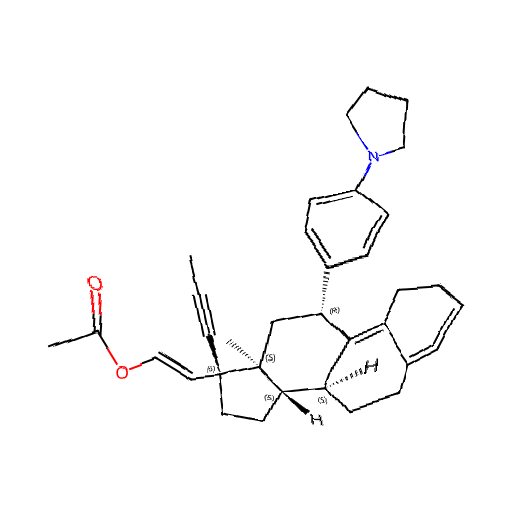 CC#C[C@]1(C=COC(C)=O)CC[C@H]2[C@@H]3CCC4=C=CCCC4=C3[C@@H](c3ccc(N4CCCC4)cc3)C[C@@]21C